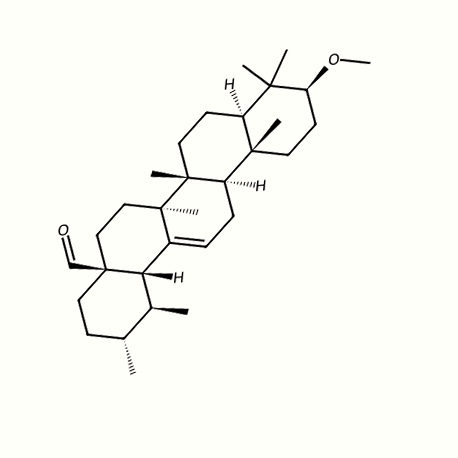 CO[C@H]1CC[C@]2(C)[C@H]3CC=C4[C@@H]5[C@@H](C)[C@H](C)CC[C@]5(C=O)CC[C@@]4(C)[C@]3(C)CC[C@H]2C1(C)C